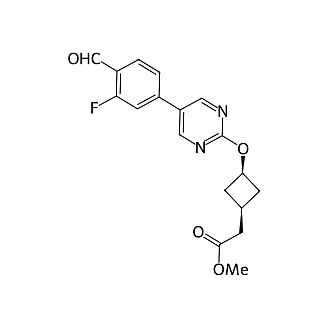 COC(=O)C[C@H]1C[C@@H](Oc2ncc(-c3ccc(C=O)c(F)c3)cn2)C1